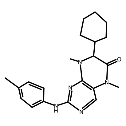 Cc1ccc(Nc2ncc3c(n2)N(C)C(C2CCCCC2)C(=O)N3C)cc1